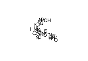 COc1cc(C(=O)Nc2cccc(-c3nccc(-c4ccc(CNC[C@@H]5CCC(=O)N5)c(OC)n4)c3Cl)c2Cl)ncc1CN1CC[C@@H](O)C1